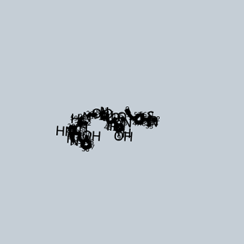 C#CC(NC(=O)[C@@H]1C[C@@H](O)CN1C(=O)[C@@H](c1cc(OCCN2C[C@@H]3[C@H](C2)[C@H]3c2c[nH]c3nnc(-c4ccccc4O)cc23)no1)C(C)C)c1ccc(-c2scnc2C)cc1